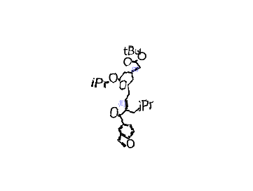 CC(C)C/C(=C\CCC/C(=C/C(=O)OC(C)(C)C)CC(=O)OC(C)C)C(=O)c1ccc2occc2c1